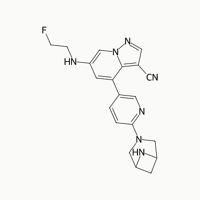 N#Cc1cnn2cc(NCCF)cc(-c3ccc(N4CC5CC(C4)N5)nc3)c12